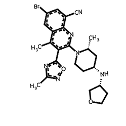 Cc1noc(-c2c(N3CC[C@@H](N[C@@H]4CCOC4)C[C@H]3C)nc3c(C#N)cc(Br)cc3c2C)n1